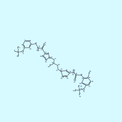 CC(F)(F)Oc1cccc(CNC(=O)c2cn(CC(F)CCn3cc(NC(=O)Cc4cc(OC(F)(F)F)ccc4F)nn3)nn2)c1